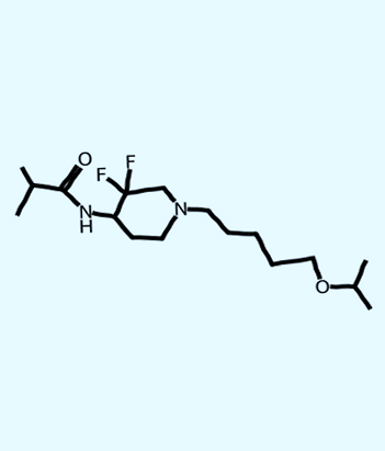 CC(C)OCCCCCN1CCC(NC(=O)C(C)C)C(F)(F)C1